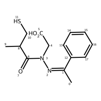 C/C(=N/N(CC(=O)O)C(=O)C(C)CS)c1ccccc1